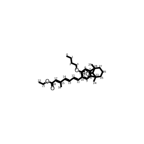 CCCCOc1cc2c(cc1/C=C/C=C/C(C)=C/C(=O)OCC)C1(C)CCCC2(C)C1O